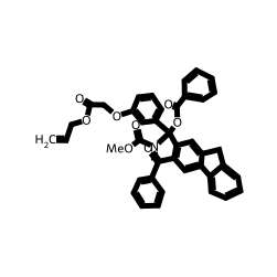 C=CCOC(=O)COc1cccc(C(NC(=O)OC)(OC(=O)c2ccccc2)c2cc3c(cc2C(=O)c2ccccc2)-c2ccccc2C3)c1